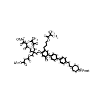 C=C(C)C(=O)OCCCc1cc(-c2ccc(-c3ccc(CCC4CCC(CCCCC)CC4)cc3)cc2)c(CC)cc1OCC(COC(=O)CC(=O)OC)(COC(=O)CC(=O)OC)COC(=O)C(=C)C